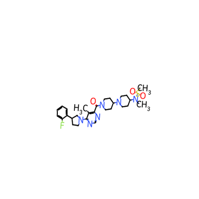 Cc1c(C(=O)N2CCC(N3CCC(N(C)S(C)(=O)=O)CC3)CC2)ncnc1N1CCC(c2ccccc2F)C1